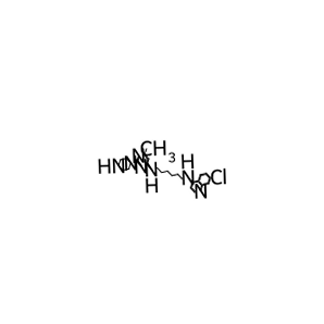 Cc1cc(NCCCCCCNc2ccnc3cc(Cl)ccc23)nc(N2CCNCC2)n1